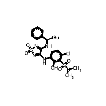 CN(C)S(=O)(=O)c1c(Cl)ccc(NC2=NS(=O)(=O)N=C2N[C@@H](c2ccccc2)C(C)(C)C)c1O